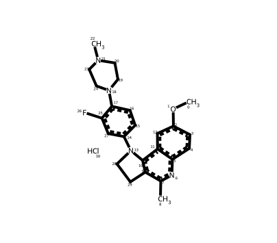 COc1ccc2nc(C)c3c(c2c1)N(c1ccc(N2CCN(C)CC2)c(F)c1)CC3.Cl